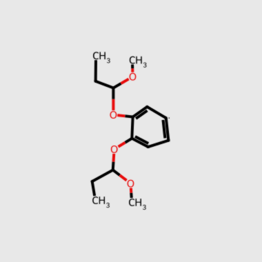 CCC(OC)Oc1c[c]ccc1OC(CC)OC